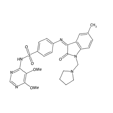 COc1ncnc(NS(=O)(=O)c2ccc(N=C3C(=O)N(CN4CCCC4)c4ccc(C)cc43)cc2)c1OC